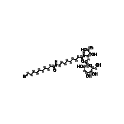 CC[C@@H](O)[C@@H](O)[C@H](CO[C@H]1OC(CO)[C@H](O)C(O)CC1O)NC(=O)CCCCCCCCNC(=O)CCCCCCCCCBr